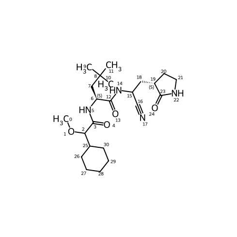 COC(C(=O)N[C@@H](CC(C)(C)C)C(=O)NC(C#N)C[C@@H]1CCNC1=O)C1CCCCC1